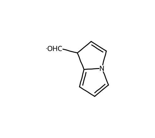 O=[C]C1C=Cn2cccc21